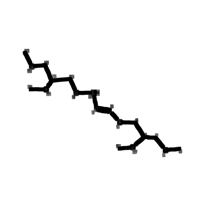 COCC(COP=NPOCC(COC)OC)OC